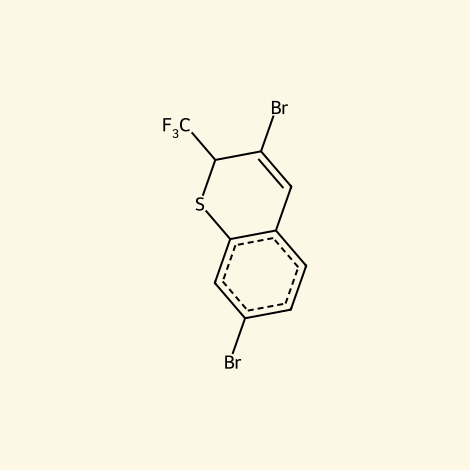 FC(F)(F)C1Sc2cc(Br)ccc2C=C1Br